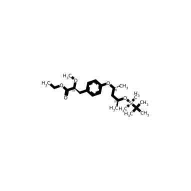 CCOC(=O)[C@H](Cc1ccc(O[C@H](C)C[C@H](C)O[Si](C)(C)C(C)(C)C)cc1)OC